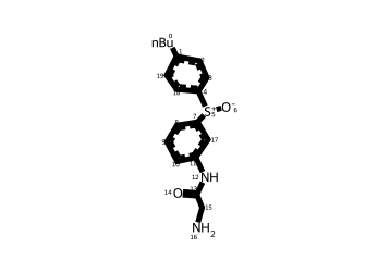 CCCCc1ccc([S+]([O-])c2cccc(NC(=O)CN)c2)cc1